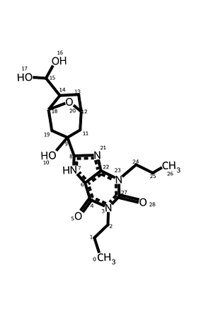 CCCn1c(=O)c2[nH]c(C3(O)CC4CC(C(O)O)C(C3)O4)nc2n(CCC)c1=O